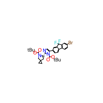 CC(C)(C)OC(=O)N1CC2(CC2)C[C@H]1c1ncc(-c2ccc3c(c2)C(F)(F)c2cc(Br)ccc2-3)n1C(=O)OC(C)(C)C